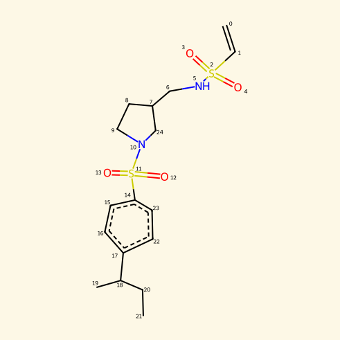 C=CS(=O)(=O)NCC1CCN(S(=O)(=O)c2ccc(C(C)CC)cc2)C1